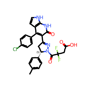 Cc1ccc([C@@H]2CC(c3c(-c4ccc(Cl)cc4)c4cc[nH]c4[nH]c3=O)=NN2C(=O)C(F)(F)CC(=O)O)cc1